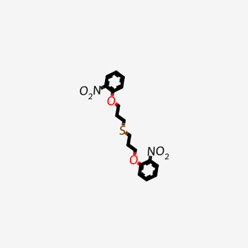 O=[N+]([O-])c1ccccc1OCCCSCCCOc1ccccc1[N+](=O)[O-]